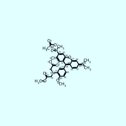 CC(=O)[O-].COC(=O)CN(CC(=O)OC)c1cc(-c2c3ccc(=[N+](C)C)cc-3oc3cc(N(C)C)ccc23)ccc1OC